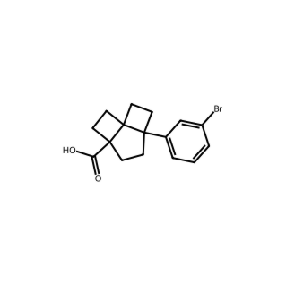 O=C(O)C12CCC3(c4cccc(Br)c4)CCC13CC2